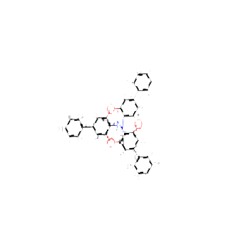 c1ccc(-c2cc3c4c(c2)Oc2cc(-c5ccccc5)cc5c2N4c2c(cc(-c4ccccc4)cc2O5)O3)cc1